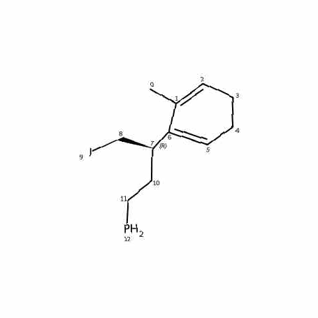 CC1=CCCC=C1[C@H](CI)CCP